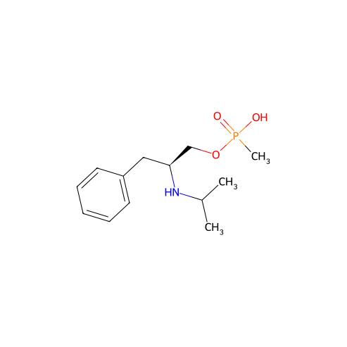 CC(C)N[C@H](COP(C)(=O)O)Cc1ccccc1